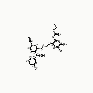 CCOC(=O)Cc1cc(F)c(Br)cc1OCCCc1cc(C#N)ccc1C(O)c1cccc(Br)n1